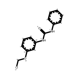 O=C(Nc1ccccc1)Nc1cccc(OCCl)c1